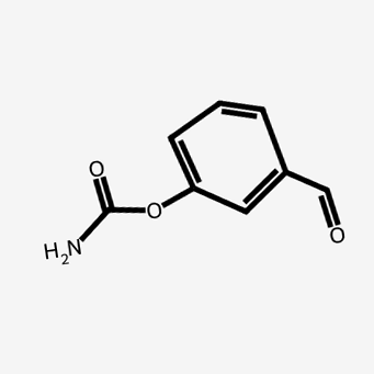 NC(=O)Oc1cccc(C=O)c1